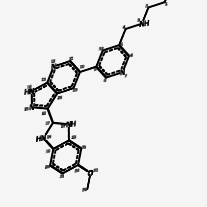 CCCNCc1cncc(-c2cnc3[nH]nc(C4Nc5ccc(OC)cc5N4)c3c2)c1